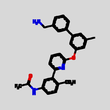 Cc1cc(Oc2cccc(-c3cc(NC(=O)C(F)(F)F)ccc3C(=O)O)n2)cc(-c2cccc(CN)c2)c1